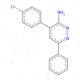 Nc1nnc(-c2ccccc2)cc1-c1ccc(Cl)cc1